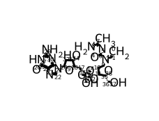 C=CN(C(=O)/N=C(/C)N)[C@H]1C[C@@H](OP(=O)(O)OC[C@H]2O[C@@H](n3cnc4c(=O)[nH]c(N)nc43)C[C@H]2O)[C@@H](CO)O1